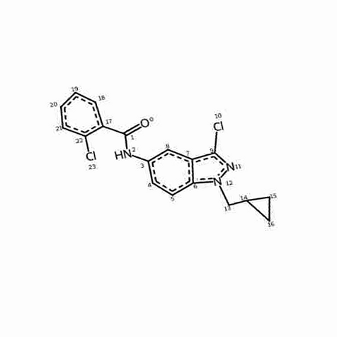 O=C(Nc1ccc2c(c1)c(Cl)nn2CC1CC1)c1ccccc1Cl